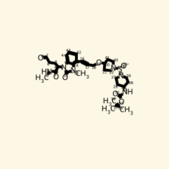 CNC(=O)C(CCC=O)n1c(=O)n(C)c2c(C#CCOC3CCN([S+]([O-])N4CCC(NC(=O)OC(C)(C)C)CC4)CC3)cccc21